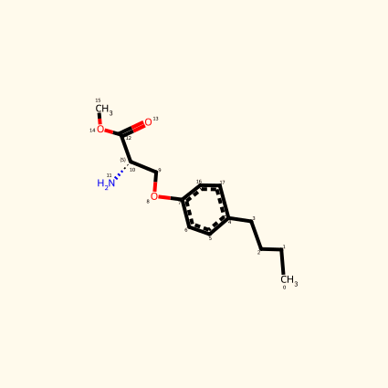 CCCCc1ccc(OC[C@H](N)C(=O)OC)cc1